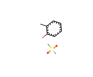 O=C(O)c1ccccc1O.O=S(=O)(Cl)Cl